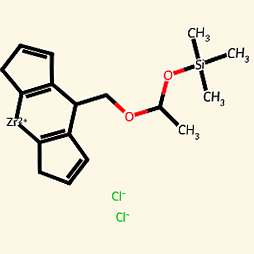 CC(OCC1C2=[C](CC=C2)[Zr+2][C]2=C1C=CC2)O[Si](C)(C)C.[Cl-].[Cl-]